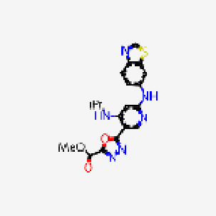 COC(=O)c1nnc(-c2cnc(Nc3ccc4ncsc4c3)cc2NC(C)C)o1